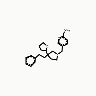 COc1ccc(CN2CCC(CCc3ccccc3)(C3CCCO3)C2)cn1